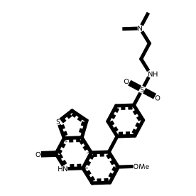 COc1ccc2[nH]c(=O)c3sccc3c2c1-c1ccc(S(=O)(=O)NCCN(C)C)cc1